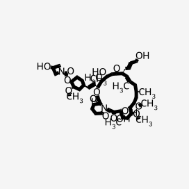 CO[C@H]1C[C@@H](C)C/C(C)=C/[C@@H](C/C=C/CO)C(=O)C[C@H](O)[C@@H](C)[C@@H](/C(C)=C/[C@@H]2CC[C@@H](OC(=O)N3CC(O)C3)[C@H](OC)C2)OC(=O)[C@@H]2CCCCN2C(=O)C(=O)[C@]2(O)O[C@H]1[C@@H](OC)C[C@H]2C